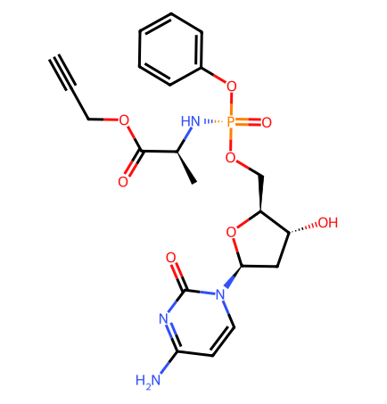 C#CCOC(=O)[C@H](C)N[P@](=O)(OC[C@@H]1O[C@H](n2ccc(N)nc2=O)C[C@H]1O)Oc1ccccc1